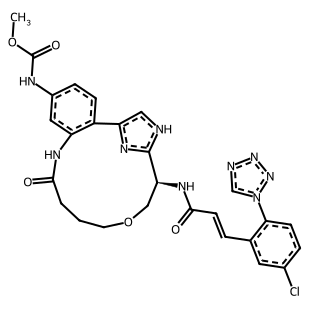 COC(=O)Nc1ccc2c(c1)NC(=O)CCCOC[C@H](NC(=O)/C=C/c1cc(Cl)ccc1-n1cnnn1)c1nc-2c[nH]1